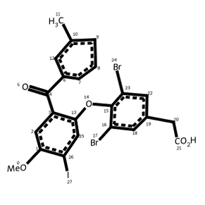 COc1cc(C(=O)c2cccc(C)c2)c(Oc2c(Br)cc(CC(=O)O)cc2Br)cc1I